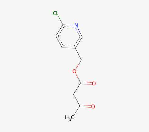 CC(=O)CC(=O)OCc1ccc(Cl)nc1